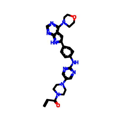 C=CC(=O)N1CCN(c2cnc(Nc3ccc(-c4cc5c(N6CCOCC6)ncnc5[nH]4)cc3)nc2)CC1